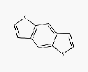 [c]1cc2cc3s[c]cc3cc2s1